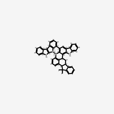 CC1(C)c2ccccc2C2CC3c4c(cccc4C21)B1c2c(cc4c(oc5ccccc54)c23)-c2cccc3c4c5ccccc5sc4n1c23